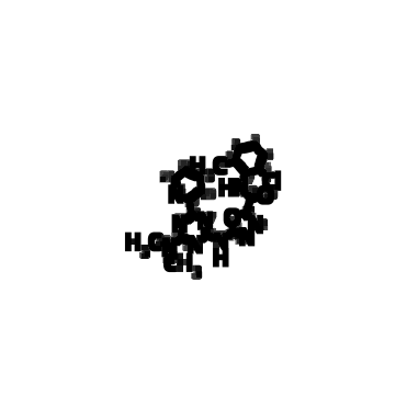 Cc1cccc(Cl)c1NC(=O)c1nnc(Nc2nc(-c3ccccn3)nc(N(C)C)n2)o1